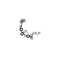 CS(=O)(=O)CCCOc1ccc(-c2cccc(COc3ccc(C4(OCC(=O)O)COC4)cc3)c2C(F)(F)F)cc1